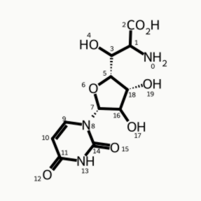 NC(C(=O)O)C(O)[C@H]1O[C@@H](n2ccc(=O)[nH]c2=O)C(O)[C@H]1O